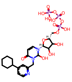 O=C1C=CN([C@@H]2O[C@H](COP(=O)(O)OP(=O)(O)OP(=O)(O)O)C(O)C2O)C(O)N1Cc1cc(C2CCCCC2)ccn1